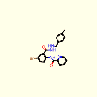 Cc1ccc(CNNC(=O)c2cc(Br)ccc2NC(=O)c2ccccn2)cc1